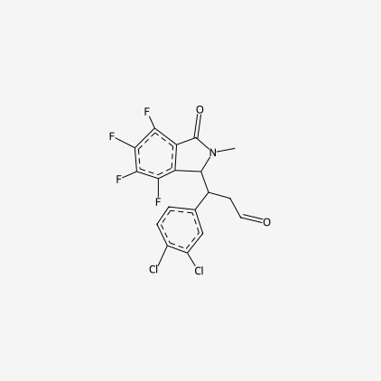 CN1C(=O)c2c(F)c(F)c(F)c(F)c2C1C(CC=O)c1ccc(Cl)c(Cl)c1